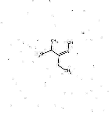 CCC(=NO)C(C)[SiH3]